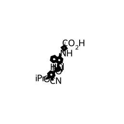 CC(C)Oc1ccc(-c2nc(-c3ccc(CN[C@H]4C[C@@H](C(=O)O)C4)c4ccccc34)no2)cc1C#N.Cl